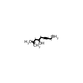 BCC#CCC(O)CC(=C)C